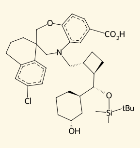 CC(C)(C)[Si](C)(C)O[C@H]([C@@H]1CCC[C@@H](O)C1)[C@@H]1CC[C@H]1CN1CC2(CCCc3cc(Cl)ccc32)COc2ccc(C(=O)O)cc21